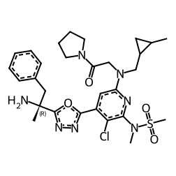 CC1CC1CN(CC(=O)N1CCCC1)c1cc(-c2nnc([C@](C)(N)Cc3ccccc3)o2)c(Cl)c(N(C)S(C)(=O)=O)n1